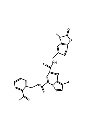 CC(=O)c1ccccc1CNC(=O)c1cc(C(=O)NCc2ccc3oc(=O)n(C)c3c2)nc2c(F)cnn12